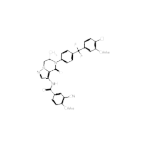 COc1cc(C(F)(F)c2ccc(N3C(=O)c4c(NC(=O)c5ccc(OC)c(C#N)c5)cnn4C[C@@H]3C)cc2)ccc1Cl